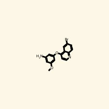 COc1cc(N)cc(Oc2ccnc3ccc(Br)cc23)c1